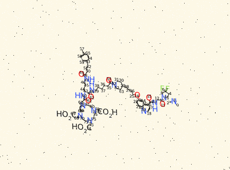 C/N=C/[C@H]1CC(F)(F)CN1C(=O)CNC(=O)c1ccnc2ccc(OCCCCC3CCN(C(=O)CCCCCNC(=O)[C@H](CCCNC(=O)CCCc4ccc(C)cc4)NC(=O)CN4CCN(CC(=O)O)CCN(CC(=O)O)CCN(CC(=O)O)CC4)CC3)cc12